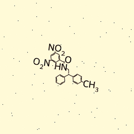 Cc1ccc(C(CNC(=O)c2cc([N+](=O)[O-])cc([N+](=O)[O-])c2)c2ccccc2)cc1